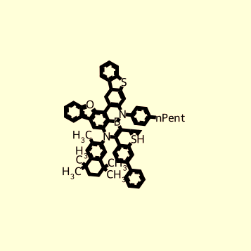 CCCCCc1ccc(N2B3C4=C(c5ccc(-c6ccccc6)cc5[SH]5CC45)N(c4cc5c(cc4C)C(C)(C)CCC5(C)C)c4cc5c(oc6ccccc65)c(c43)C3=C2C=C2Sc4ccccc4C2C3)cc1